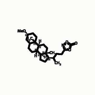 CO[C@@H]1CC[C@@]2(C)C(CC[C@H]3[C@@H]4CC[C@H](C(C)CCc5noc(=O)o5)[C@@]4(C)CC[C@@H]32)C1